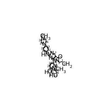 C=CCn1c(=O)c2cnc(Nc3ccc(N4CCN(C)CC4)cc3)nc2n1-c1ccc(=O)n(C(C)(C)CO)n1